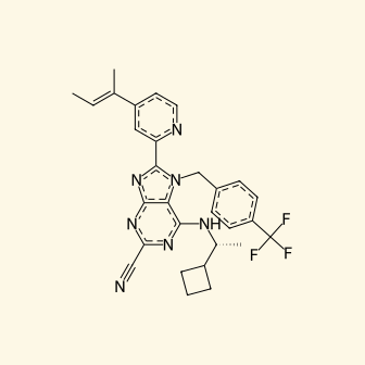 CC=C(C)c1ccnc(-c2nc3nc(C#N)nc(N[C@H](C)C4CCC4)c3n2Cc2ccc(C(F)(F)F)cc2)c1